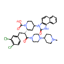 CN1CCC(N2CCN(C(=O)C(Cc3ccc(Cl)c(Cl)c3)[C@H]3CC(n4c(=O)[nH]c5c6ccccc6ccc54)CCN3C(=O)O)CC2)CC1